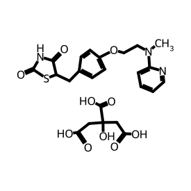 CN(CCOc1ccc(CC2SC(=O)NC2=O)cc1)c1ccccn1.O=C(O)CC(O)(CC(=O)O)C(=O)O